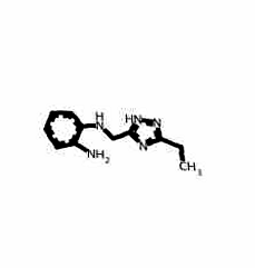 CCc1n[nH]c(CNc2ccccc2N)n1